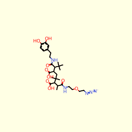 CC(C(=O)NCCOCCN=[N+]=[N-])C(C(=O)O)C(C)(C)CC(C(=O)O)C(C(=O)NCCc1ccc(O)c(O)c1)C(C)(C)C